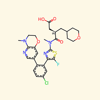 CN1CCOc2cc(-c3ccc(Cl)cc3-c3nc(N(C)C(=O)[C@@H](CC(=O)O)CC4CCOCC4)sc3F)cnc21